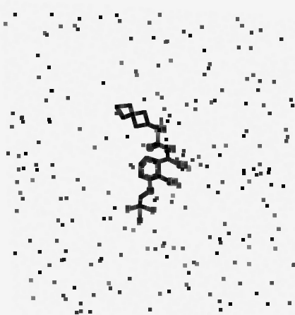 Cc1c(OCC(F)(F)F)cccc1C(C)NC(=O)NC1CC2(CCC2)C1